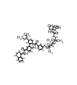 CCN(CC)c1ccc(NC(=O)c2cccc(CSC(C)(C)CCOC(C)(C)CCC(=O)NC(CO)(CO)CO)c2)c(-c2cc(C(=O)N[C@H]3CCCc4ccccc43)ccn2)c1